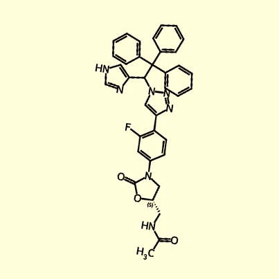 CC(=O)NC[C@H]1CN(c2ccc(-c3cn(C(c4c[nH]cn4)C(c4ccccc4)(c4ccccc4)c4ccccc4)nn3)c(F)c2)C(=O)O1